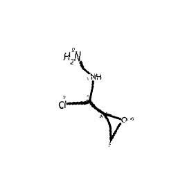 NNC(Cl)C1CO1